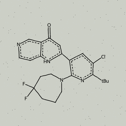 CC(C)(C)c1nc(N2CCCC(F)(F)CC2)c(-c2cc(=O)c3cnccc3[nH]2)cc1Cl